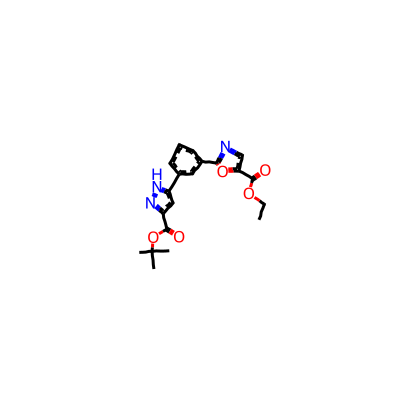 CCOC(=O)c1cnc(-c2cccc(-c3cc(C(=O)OC(C)(C)C)n[nH]3)c2)o1